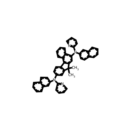 CC1(C)c2cc(N(c3ccc4ccccc4c3)c3ccccn3)ccc2-c2c1cc(N(c1ccc3ccccc3c1)c1ccccn1)c1ccccc21